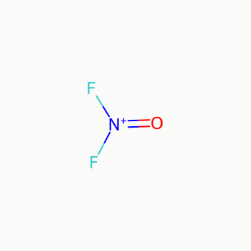 O=[N+](F)F